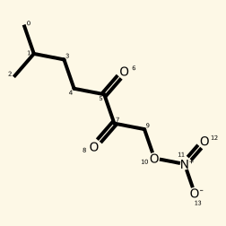 CC(C)CCC(=O)C(=O)CO[N+](=O)[O-]